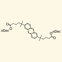 CCCCCCCCCCOC(=O)CCCC(C)(C)c1ccc2cc3cc(C(C)(C)CCCC(=O)OCCCCCCCCCC)ccc3cc2c1